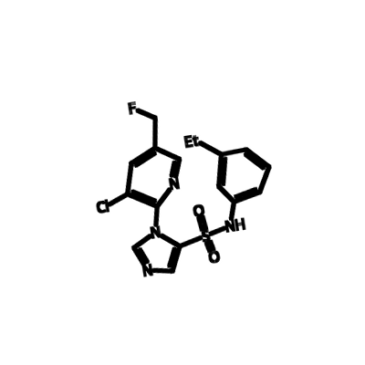 CCc1cccc(NS(=O)(=O)c2cncn2-c2ncc(CF)cc2Cl)c1